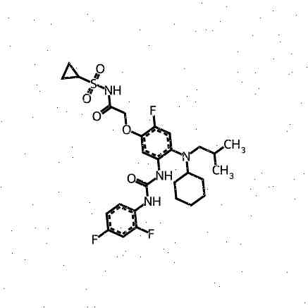 CC(C)CN(c1cc(F)c(OCC(=O)NS(=O)(=O)C2CC2)cc1NC(=O)Nc1ccc(F)cc1F)C1CCCCC1